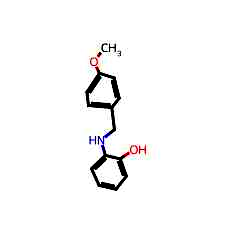 COc1ccc(CNc2ccccc2O)cc1